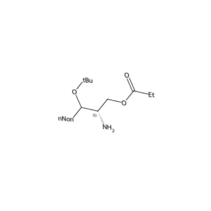 CCCCCCCCCC(OC(C)(C)C)[C@@H](N)COC(=O)CC